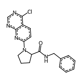 O=C(NCc1ccccc1)C1CCCN1c1ccc2c(Cl)ncnc2n1